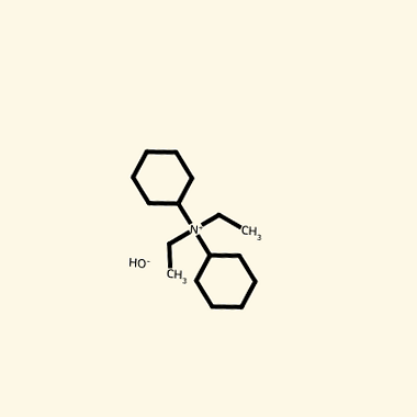 CC[N+](CC)(C1CCCCC1)C1CCCCC1.[OH-]